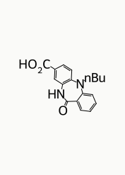 CCCCN1c2ccc(C(=O)O)cc2NC(=O)c2ccccc21